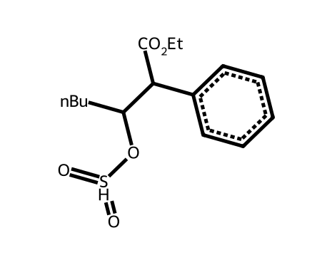 CCCCC(O[SH](=O)=O)C(C(=O)OCC)c1ccccc1